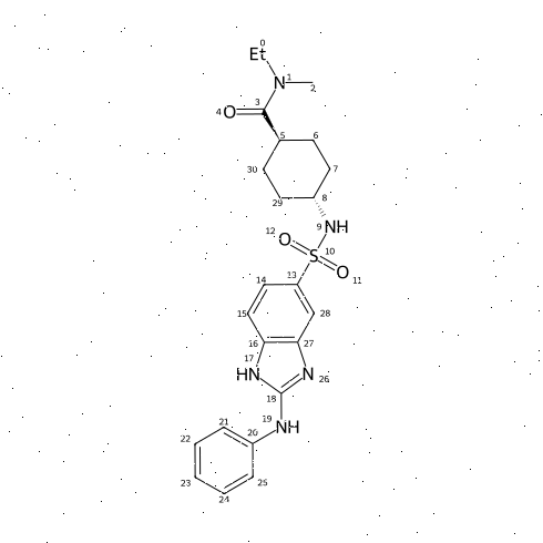 CCN(C)C(=O)[C@H]1CC[C@H](NS(=O)(=O)c2ccc3[nH]c(Nc4ccccc4)nc3c2)CC1